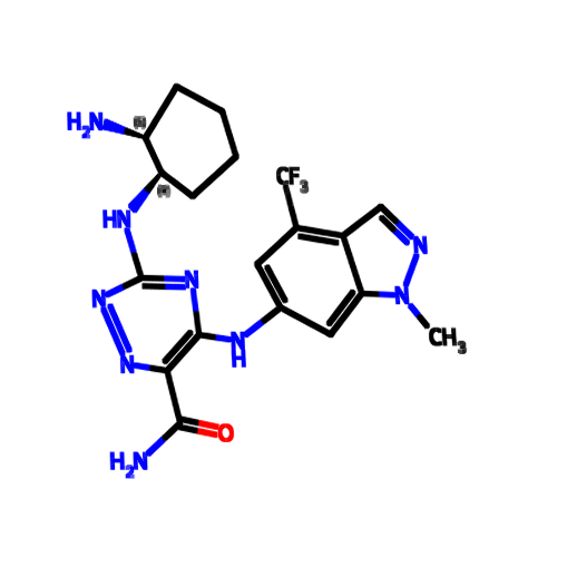 Cn1ncc2c(C(F)(F)F)cc(Nc3nc(N[C@@H]4CCCC[C@@H]4N)nnc3C(N)=O)cc21